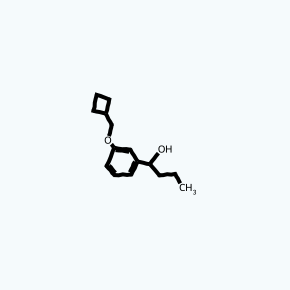 CCCC(O)c1cccc(OCC2CCC2)c1